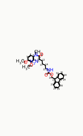 COc1ccc(N(C)C(=O)[C@@H](N)CCCCNC(=O)OCC2c3ccccc3-c3ccccc32)cc1OC